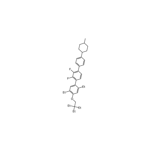 CCc1cc(-c2ccc(-c3ccc(C4CCC(C)CC4)cc3)c(F)c2F)c(CC)cc1OCC(CC)(CC)CC